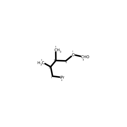 CC(C)CC(C)C(C)COC=O